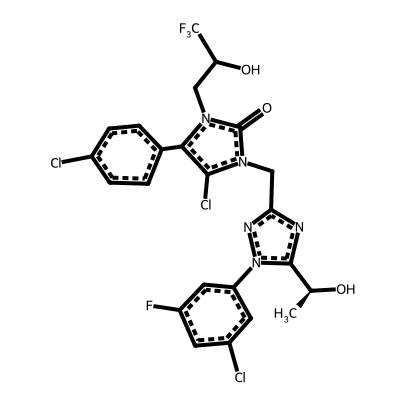 C[C@H](O)c1nc(Cn2c(Cl)c(-c3ccc(Cl)cc3)n(CC(O)C(F)(F)F)c2=O)nn1-c1cc(F)cc(Cl)c1